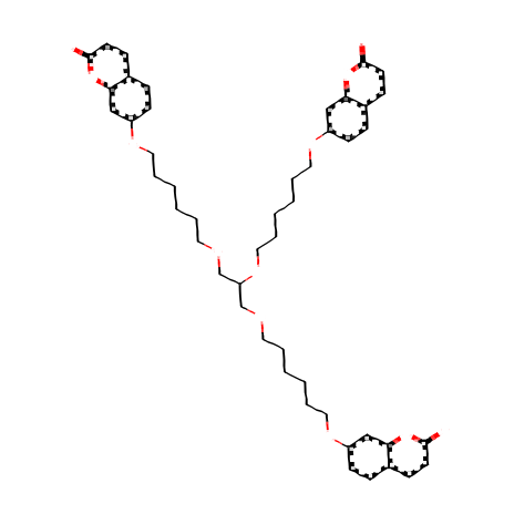 O=c1ccc2ccc(OCCCCCCOCC(COCCCCCCOc3ccc4ccc(=O)oc4c3)OCCCCCCOc3ccc4ccc(=O)oc4c3)cc2o1